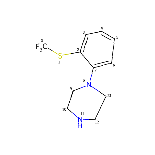 FC(F)(F)Sc1ccccc1N1CCNCC1